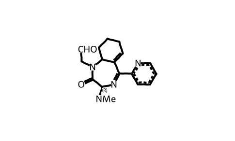 CN[C@@H]1N=C(c2ccccn2)C2=CCCCC2N(CC=O)C1=O